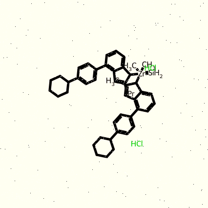 CC1=Cc2c(-c3ccc(C4CCCCC4)cc3)cccc2[CH]1[Zr]([CH3])([CH3])(=[SiH2])[CH]1C(C(C)C)=Cc2c(-c3ccc(C4CCCCC4)cc3)cccc21.Cl.Cl